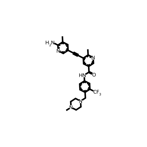 Cc1cc(C#Cc2cc(C(=O)Nc3ccc(CN4CCN(C)CC4)c(C(F)(F)F)c3)cnc2C)cnc1N